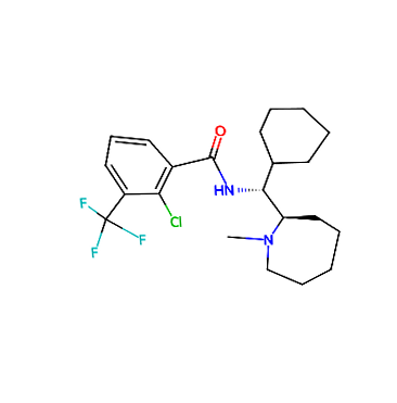 CN1CCCCC[C@@H]1[C@H](NC(=O)c1cccc(C(F)(F)F)c1Cl)C1CCCCC1